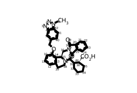 Cn1nnc2cc(COc3cccc4c3[C@@H](CN3C(=O)c5ccccc5C3=O)N(C(=O)C3CCCC[C@H]3C(=O)O)CC4)ccc21